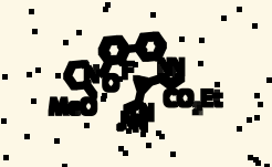 CCOC(=O)c1cnn(-c2cccc(-c3cccc(C(=O)N4CCCCC4COC)c3F)c2)c1C1CC1c1cn(C)nn1